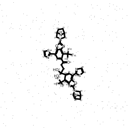 CC(O)(CCC(=O)c1cc(-c2nccs2)c2oc(N3CC4CCC(C3)N4)nc2c1C(F)(F)F)c1cc(-c2nccs2)c2oc(N3CC4CC(C3)N4)nc2c1C(F)(F)F